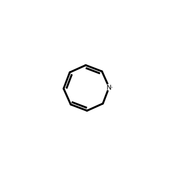 C1=C\C=C/[N]C\C=C/1